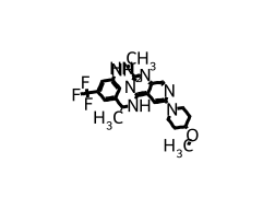 CNc1nc(N[C@H](C)c2cc(N)cc(C(F)(F)F)c2)c2cc(N3CCC(OC)CC3)ncc2n1